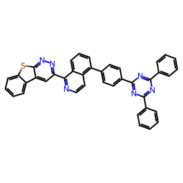 c1ccc(-c2nc(-c3ccccc3)nc(-c3ccc(-c4cccc5c(-c6cc7c(nn6)sc6ccccc67)nccc45)cc3)n2)cc1